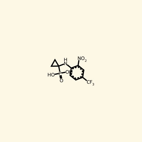 O=[N+]([O-])c1cc(C(F)(F)F)ccc1NC1(P(=O)(O)O)CC1